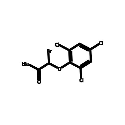 CC(C)(C)C(=O)C(Br)Oc1c(Cl)cc(Cl)cc1Cl